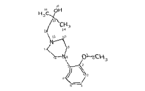 COc1ccccc1N1CCN(CC(C)(C)O)CC1